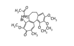 COc1cc2c(c(OC)c1OC)-c1cc(C)c(=O)c(OC)c(Br)c1[C@@H](NC(C)=O)CC2